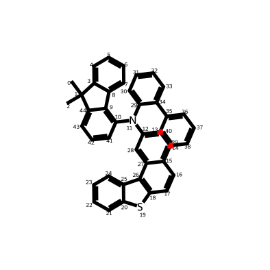 CC1(C)c2ccccc2-c2c(N(c3ccc4ccc5sc6ccccc6c5c4c3)c3ccccc3-c3ccccc3)cccc21